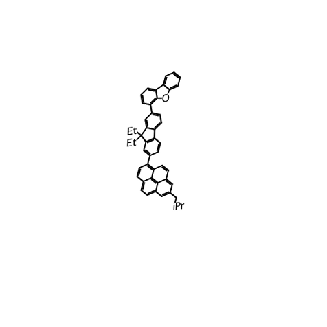 CCC1(CC)c2cc(-c3ccc4ccc5cc(CC(C)C)cc6ccc3c4c56)ccc2-c2ccc(-c3cccc4c3oc3ccccc34)cc21